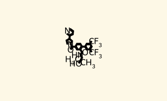 CC(C)(O)CNC(=O)c1cc(C(=O)N2CCC(c3cccnc3)C2)ccc1-c1cc(C(F)(F)F)cc(C(F)(F)F)c1